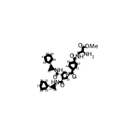 COC(=O)[C@@H](N)CNC(=O)c1ccc(C(=O)N2C[C@@H](C(=O)N[C@H]3C[C@@H]3c3ccccc3)[C@H](C(=O)N[C@H]3C[C@@H]3c3ccccc3)C2)cc1